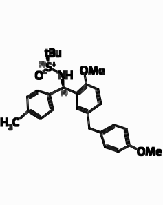 COc1ccc(Cc2ccc(OC)c([C@H](N[S@@+]([O-])C(C)(C)C)c3ccc(C)cc3)c2)cc1